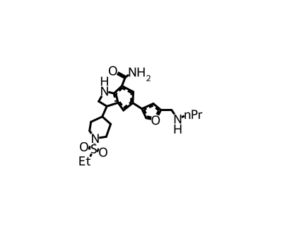 CCCNCc1cc(-c2cc(C(N)=O)c3c(c2)C(C2CCN(S(=O)(=O)CC)CC2)CN3)co1